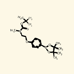 CN(CCOc1ccc(B2OC(C)(C)C(C)(C)O2)cc1)C(=O)OC(C)(C)C